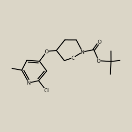 Cc1cc(OC2CCN(C(=O)OC(C)(C)C)CC2)cc(Cl)n1